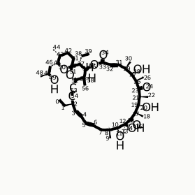 CC[C@@H]1/C=C/C=C/C[C@H](C)[C@@H](O)[C@](C)(O)C(=O)[C@H](C)[C@@H](O)[C@H](C)C(=O)[C@H](C)[C@@H](O)[C@H](C)/C=C/C(=O)O[C@@H]2[C@@H](CC)C3(CC[C@@H](C)[C@@H](C[C@H](C)O)O3)OC(CC1)[C@@H]2C